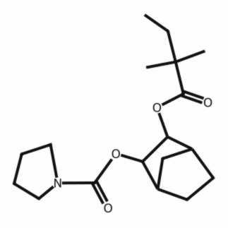 CCC(C)(C)C(=O)OC1C2CCC(C2)C1OC(=O)N1CCCC1